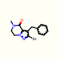 CC(=O)c1nn2c(c1Cc1ccccc1)C(=O)N(C)CC2